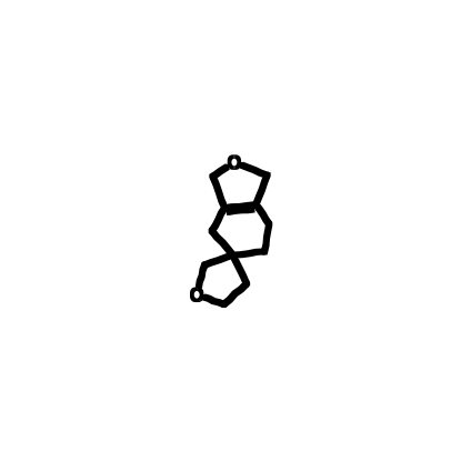 C1CC2(CCC3=C(COC3)C2)CO1